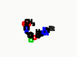 CCc1cnc(N2CC3CC(Oc4ccc(CN5CCN(S(C)(=O)=O)CC5)cc4Cl)C[C@H]3C2)nc1